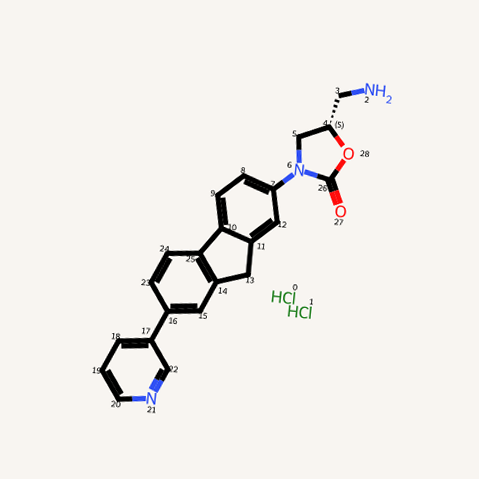 Cl.Cl.NC[C@H]1CN(c2ccc3c(c2)Cc2cc(-c4cccnc4)ccc2-3)C(=O)O1